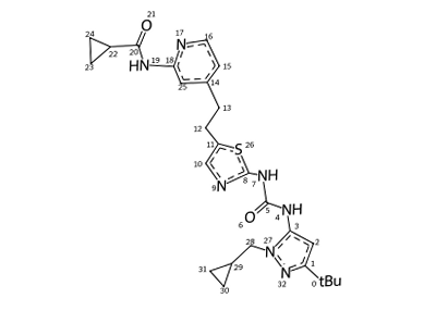 CC(C)(C)c1cc(NC(=O)Nc2ncc(CCc3ccnc(NC(=O)C4CC4)c3)s2)n(CC2CC2)n1